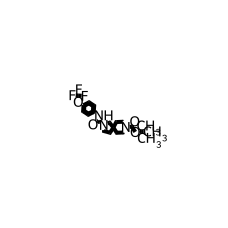 CC(C)(C)OC(=O)N1CCC2(CCN(C(=O)Nc3ccc(OC(F)(F)F)cc3)C2)CC1